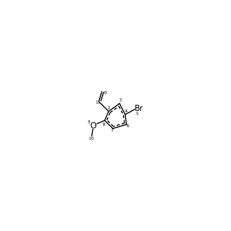 C=[C]c1cc(Br)ccc1OC